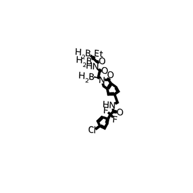 B[C@@H](C(=O)NC(=O)C(B)(B)CC)N1Cc2cc(CNC(=O)C(F)(F)c3ccc(Cl)cc3)ccc2C1=O